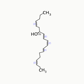 CC/C=C\CC/C=C/C=C\C=C\[C@@H](O)C/C=C\CCC